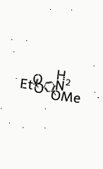 CCC(=O)Oc1ccc(N)c(OC)c1